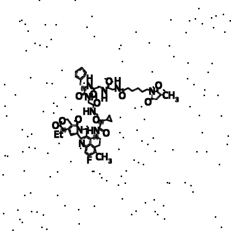 CC[C@H]1C(=O)OCc2c1cc1n(c2=O)Cc2c-1nc1cc(F)c(C)c3c1c2[C@@H](NC(=O)[C@@H](OCNC(=O)CNC(=O)[C@H](Cc1ccccc1)NC(=O)CNC(=O)CNC(=O)CCCCCN1C(=O)CC(C)C1=O)C1CC1)CC3